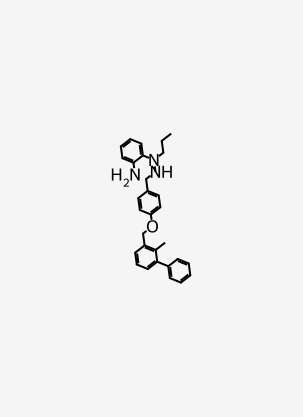 CCCN(NCc1ccc(OCc2cccc(-c3ccccc3)c2C)cc1)c1ccccc1N